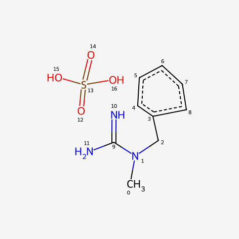 CN(Cc1ccccc1)C(=N)N.O=S(=O)(O)O